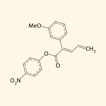 C=C/C=C(/C(=O)Oc1ccc([N+](=O)[O-])cc1)c1cccc(OC)c1